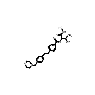 CC(O)C(NC(=O)c1ccc(CCc2ccc(CN3CCOCC3)cc2)cc1)C(=O)NO